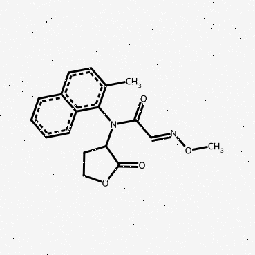 CON=CC(=O)N(c1c(C)ccc2ccccc12)C1CCOC1=O